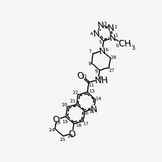 Cn1nnnc1N1CCC(NC(=O)c2cnc3cc4c(cc3c2)OCCO4)CC1